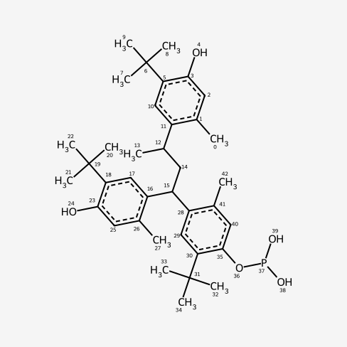 Cc1cc(O)c(C(C)(C)C)cc1C(C)CC(c1cc(C(C)(C)C)c(O)cc1C)c1cc(C(C)(C)C)c(OP(O)O)cc1C